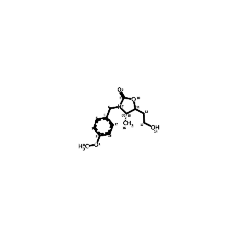 COc1ccc(CN2C(=O)OC(CCO)[C@@H]2C)cc1